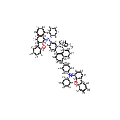 C[Si]1(C)c2cc(N(c3ccccc3-c3ccccc3)c3cccc4c3oc3ccccc34)ccc2-c2ccc(-c3ccc(N(c4ccccc4)c4cccc5c4oc4ccccc45)cc3)c3cccc1c23